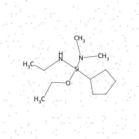 CCN[Si](OCC)(C1CCCC1)N(C)C